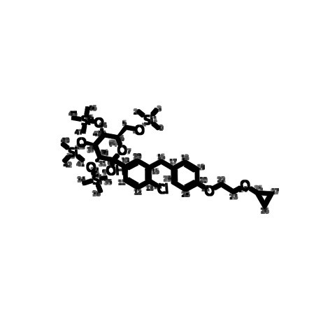 C[Si](C)(C)OC[C@H]1OC(O)(c2ccc(Cl)c(Cc3ccc(OCCOC4CC4)cc3)c2)[C@H](O[Si](C)(C)C)[C@@H](O[Si](C)(C)C)[C@@H]1O[Si](C)(C)C